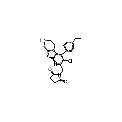 CCc1ccc(-c2c(Cl)c(CN3C(=O)CCC3=O)nc3sc4c(c23)CCNC4)cc1